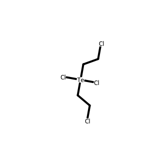 ClCC[Te](Cl)(Cl)CCCl